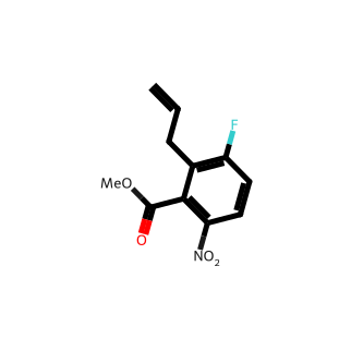 C=CCc1c(F)ccc([N+](=O)[O-])c1C(=O)OC